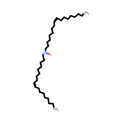 CCCCCCCC/C=C\CCCCCCCC[NH+]([O-])CCCCCCCC/C=C\CCCCCCCC